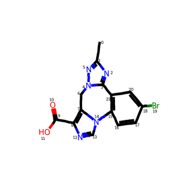 Cc1nc2n(n1)Cc1c(C(=O)O)ncn1-c1ccc(Br)cc1-2